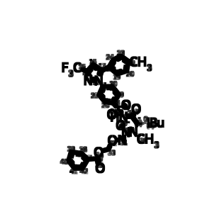 CC[C@@H](C)[C@@H](C(=O)NS(=O)(=O)c1ccc(-n2nc(C(F)(F)F)cc2-c2ccc(C)cc2)cc1)N(C)[N+]([O-])=NOCOC(=O)c1ccccc1